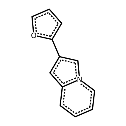 c1coc(-c2cc3ccccn3c2)c1